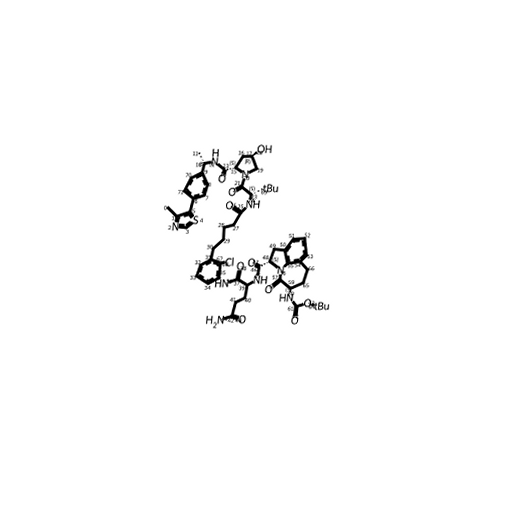 Cc1ncsc1-c1ccc([C@H](C)NC(=O)[C@@H]2C[C@@H](O)CN2C(=O)[C@@H](NC(=O)CCCCc2cccc(NC(=O)C(CCC(N)=O)NC(=O)[C@@H]3Cc4cccc5c4N3C(=O)[C@@H](NC(=O)OC(C)(C)C)CC5)c2Cl)C(C)(C)C)cc1